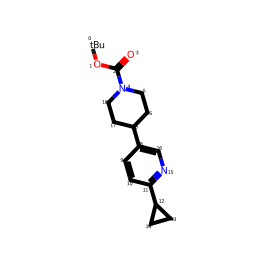 CC(C)(C)OC(=O)N1CCC(c2ccc(C3CC3)nc2)CC1